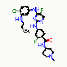 CN1CCC(NC(=O)c2ccc(Nc3ncc(F)c(Nc4ccc(Cl)c(NCCC(C)(C)C)c4)n3)cc2F)CC1